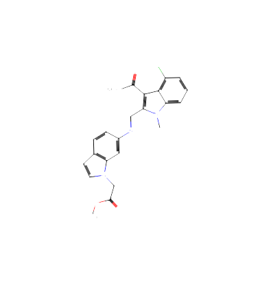 COC(=O)c1c(CNc2ccc3ccn(CC(=O)OC(C)(C)C)c3c2)n(C)c2cccc(Cl)c12